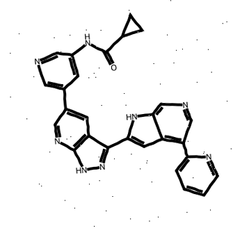 O=C(Nc1cncc(-c2cnc3[nH]nc(-c4cc5c(-c6ccccn6)cncc5[nH]4)c3c2)c1)C1CC1